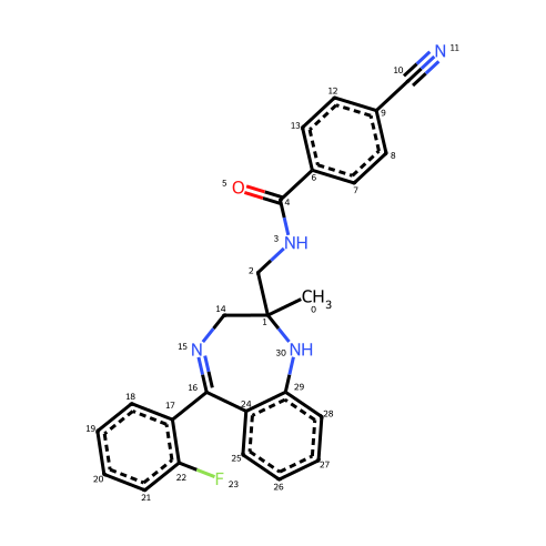 CC1(CNC(=O)c2ccc(C#N)cc2)CN=C(c2ccccc2F)c2ccccc2N1